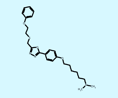 CN(C)CCCCCCOc1ccc(-c2nnc(CSCCOc3ccccc3)o2)cc1